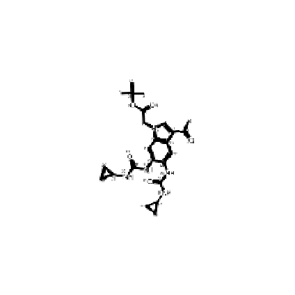 CC(=O)c1cn(CC(=O)OC(C)(C)C)c2cc(NC(=O)NC3CC3)c(NC(=O)NC3CC3)cc12